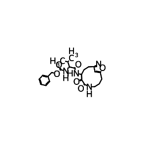 CC(C)C(NC(=O)OCc1ccccc1)C(=O)NC1CCc2cc(on2)CCCNC(=O)C1=O